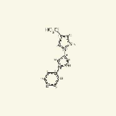 O=C(O)c1cn(-c2cnn(-c3ccccc3)c2)nn1